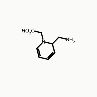 NCC1C=CC=CN1CC(=O)O